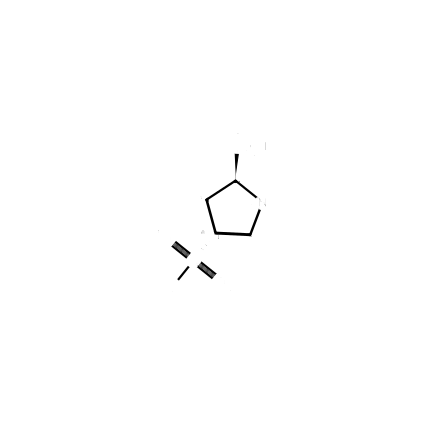 CS(=O)(=O)[C@H]1CN[C@H](C(=O)O)C1